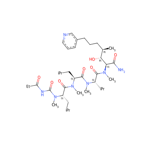 CCC(=O)NC(=O)N(C)[C@@H](CC(C)C)C(=O)N(C)[C@@H](CC(C)C)C(=O)N(C)[C@H](C(=O)N(C)[C@H](C(N)=O)[C@H](O)[C@H](C)CCCc1cccnc1)C(C)C